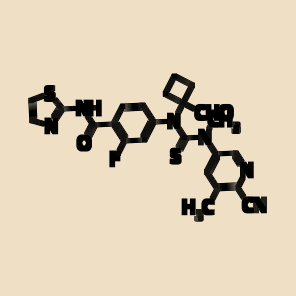 Cc1cc(N(C)C(=S)N(c2ccc(C(=O)Nc3nccs3)c(F)c2)C2(C=O)CCC2)cnc1C#N